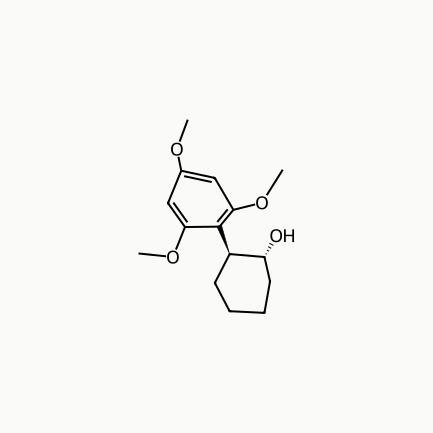 COc1cc(OC)c([C@@H]2CCCC[C@H]2O)c(OC)c1